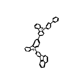 c1ccc(-c2ccc(-n3c4ccccc4c4cc(-c5ccc6c(c5)c5ccccc5n6-c5ccc6c(c5)-c5cccc7cccc-6c57)ccc43)cc2)cc1